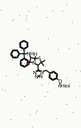 CCCCCCOc1ccc(Cn2nnnc2C2N3C(=O)C(NC(c4ccccc4)(c4ccccc4)c4ccccc4)[C@@H]3SC2(C)C)cc1